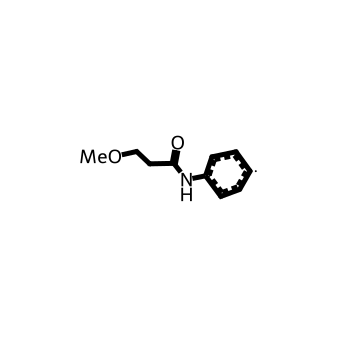 COCCC(=O)Nc1cc[c]cc1